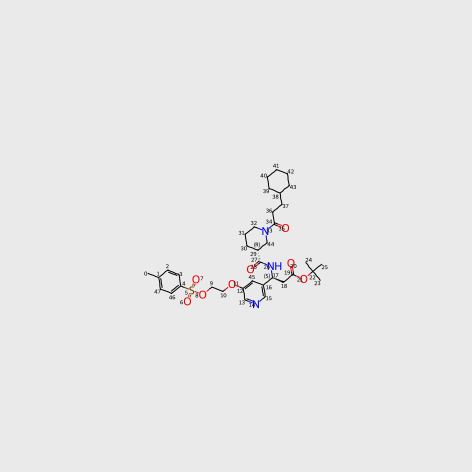 Cc1ccc(S(=O)(=O)OCCOc2cncc([C@H](CC(=O)OC(C)(C)C)NC(=O)[C@@H]3CCCN(C(=O)CCC4CCCCC4)C3)c2)cc1